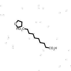 C1CCOC1.O=C(O)CCCCCCCCC(=O)O